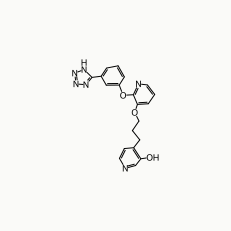 Oc1cnccc1CCCOc1cccnc1Oc1cccc(-c2nnn[nH]2)c1